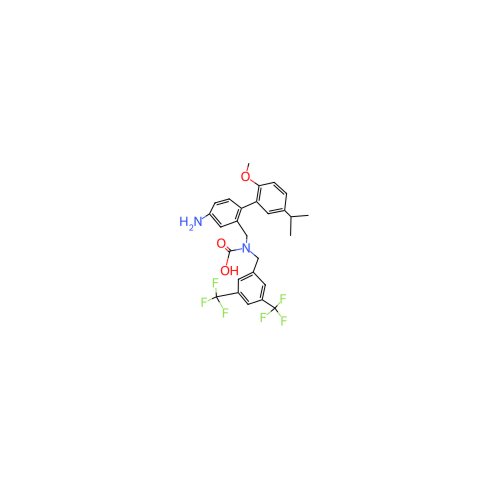 COc1ccc(C(C)C)cc1-c1ccc(N)cc1CN(Cc1cc(C(F)(F)F)cc(C(F)(F)F)c1)C(=O)O